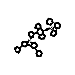 C(#C[Si](c1ccccc1)(c1ccccc1)c1ccccc1)c1c2ccccc2c(-c2cccc(-n3c4ccc(-c5ccccc5)cc4c4cc(-c5ccccc5)ccc43)c2)c2ccccc12